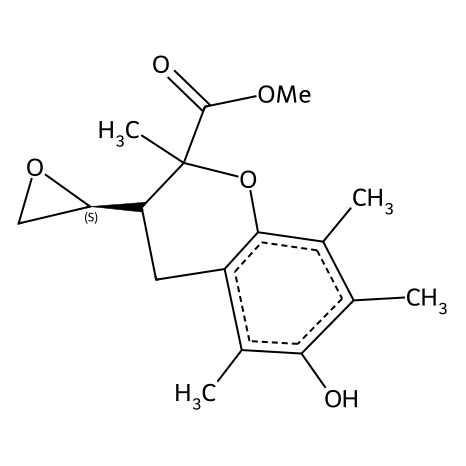 COC(=O)C1(C)Oc2c(C)c(C)c(O)c(C)c2CC1[C@H]1CO1